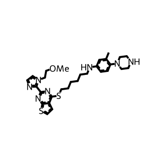 COCCn1ccnc1-c1nc(SCCCCCCNc2ccc(N3CCNCC3)c(C)c2)c2ccsc2n1